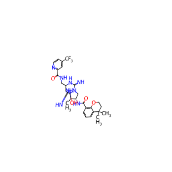 C[C@@H]1[C@@H](NC(=O)c2cccc3c2OCCC3(C)C)CN2C(=N)NC(CNC(=O)c3cc(C(F)(F)F)ccn3)C3NC(=N)N(O)C312